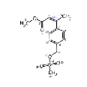 COC(=O)/C=C(/C)c1ccc(COS(C)(=O)=O)cc1